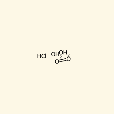 Cl.O.O.O=O